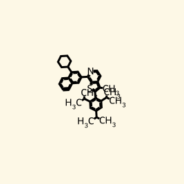 Cc1c(-c2c(C(C)C)cc(C(C)C)cc2C(C)C)sc2c(-c3cc(C4CCCCC4)c4ccc#cc4c3)nccc12